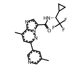 Cc1cncc(-c2cc(C)c3ncc(C(=O)N[C@H](C4CC4)C(F)(F)F)n3n2)c1